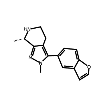 C[C@@H]1NCCc2c1nn(C)c2-c1ccc2occc2c1